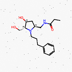 CCC(=O)NC[C@@H]1C[C@H](O)[C@@H](CO)N1CCCc1ccccc1